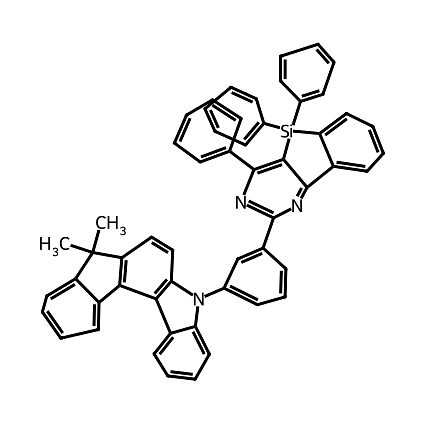 CC1(C)c2ccccc2-c2c1ccc1c2c2ccccc2n1-c1cccc(-c2nc(-c3ccccc3)c3c(n2)-c2ccccc2[Si]3(c2ccccc2)c2ccccc2)c1